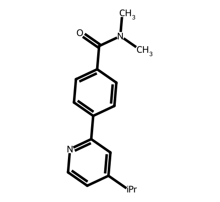 CC(C)c1ccnc(-c2ccc(C(=O)N(C)C)cc2)c1